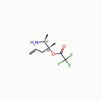 C=CC[C@@](C)(OC(=O)C(F)(F)F)[C@H](C)N